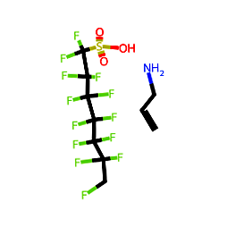 C=CCN.O=S(=O)(O)C(F)(F)C(F)(F)C(F)(F)C(F)(F)C(F)(F)C(F)(F)CF